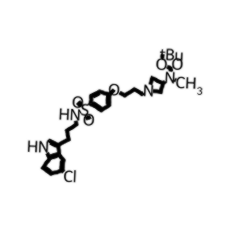 CN(C(=O)OC(C)(C)C)C1CN(CCCOc2ccc(S(=O)(=O)NCCCc3c[nH]c4ccc(Cl)cc34)cc2)C1